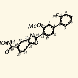 COc1cc(-c2ccccc2F)ccc1-c1nc2cc(C(=O)NO)ccc2o1